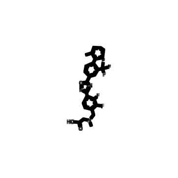 Cc1ccccc1-c1ccc(-c2nc(-c3ccc(CN(C)CC(=O)O)c(F)c3F)no2)cc1C(F)(F)F